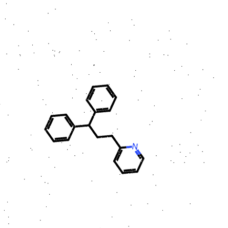 c1ccc(C(CCc2ccccn2)c2ccccc2)cc1